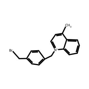 Cc1cc[n+](Cc2ccc(CBr)cc2)c2ccccc12